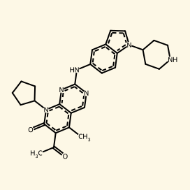 CC(=O)c1c(C)c2cnc(Nc3ccc4c(ccn4C4CCNCC4)c3)nc2n(C2CCCC2)c1=O